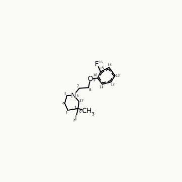 CC1(I)CCCN(CCOc2ccccc2F)C1